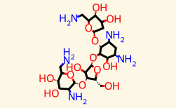 NCC1O[C@H](O[C@@H]2C(O)[C@H](OC3C(O)[C@H](N)CC(N)[C@H]3O[C@@H]3CC(O)[C@H](O)C(CN)O3)O[C@@H]2CO)C(N)C(O)[C@@H]1O